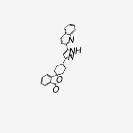 O=C1OC2(CCC(c3cc(-c4ccc5ccccc5n4)[nH]n3)CC2)c2ccccc21